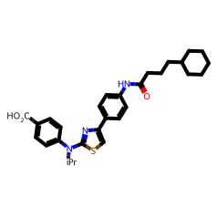 CC(C)N(c1ccc(C(=O)O)cc1)c1nc(-c2ccc(NC(=O)CCCC3CCCCC3)cc2)cs1